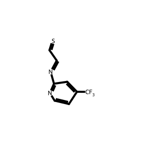 FC(F)(F)c1ccnc(N=CC=S)c1